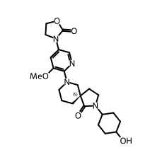 COc1cc(N2CCOC2=O)cnc1N1CCC[C@]2(CCN(C3CCC(O)CC3)C2=O)C1